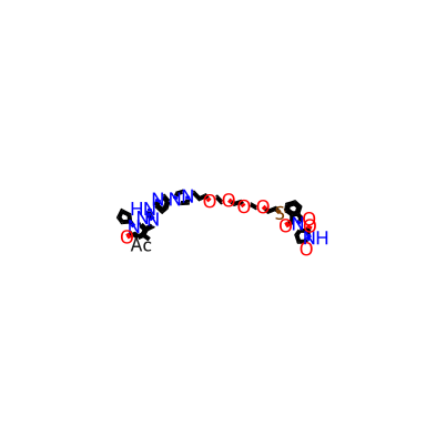 CC(=O)c1c(C)c2cnc(Nc3ccc(N4CCN(CCCOCCOCCOCCOCCSc5cccc6c5C(=O)N(C5CCC(=O)NC5=O)C6=O)CC4)cn3)nc2n(C2CCCC2)c1=O